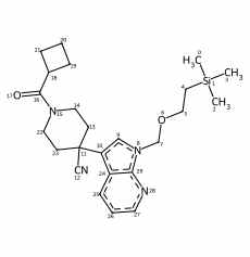 C[Si](C)(C)CCOCn1cc(C2(C#N)CCN(C(=O)C3CCC3)CC2)c2cccnc21